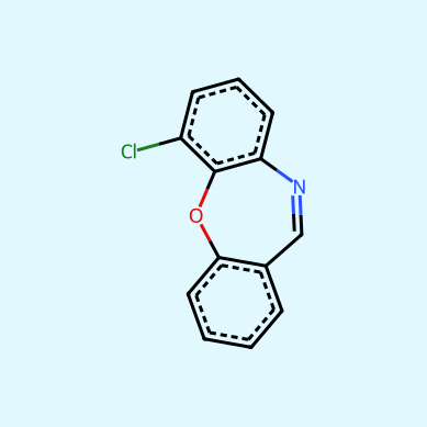 Clc1cccc2c1Oc1ccccc1C=N2